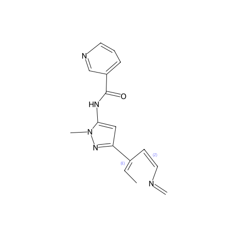 C=N/C=C\C(=C/C)c1cc(NC(=O)c2cccnc2)n(C)n1